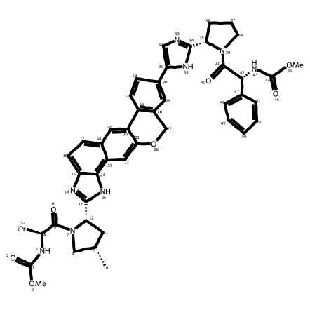 COC(=O)N[C@H](C(=O)N1C[C@@H](C)C[C@H]1c1nc2ccc3cc4c(cc3c2[nH]1)OCc1cc(-c2cnc([C@@H]3CCCN3C(=O)[C@H](NC(=O)OC)c3ccccc3)[nH]2)ccc1-4)C(C)C